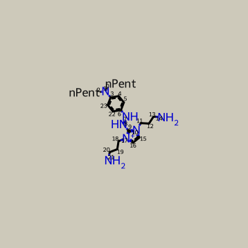 CCCCCN(CCCCC)c1ccc(NNc2n(CCCN)cc[n+]2CCCN)cc1